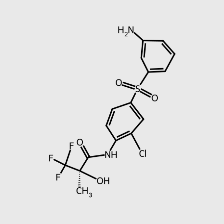 C[C@@](O)(C(=O)Nc1ccc(S(=O)(=O)c2cccc(N)c2)cc1Cl)C(F)(F)F